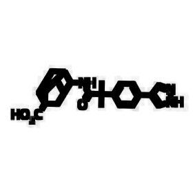 CC(C)(C(=O)NC1C2CC3CC1CC(C(=O)O)(C3)C2)c1ccc(-c2cn[nH]c2)cc1